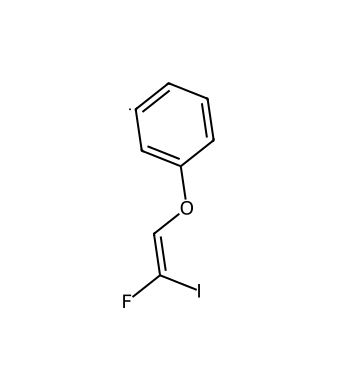 FC(I)=COc1c[c]ccc1